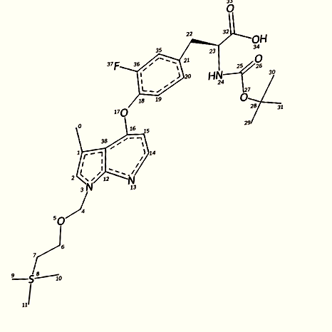 Cc1cn(COCCS(C)(C)C)c2nccc(Oc3ccc(C[C@H](NC(=O)OC(C)(C)C)C(=O)O)cc3F)c12